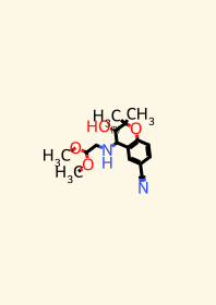 COC(CNC1c2cc(C#N)ccc2OC(C)(C)[C@@H]1O)OC